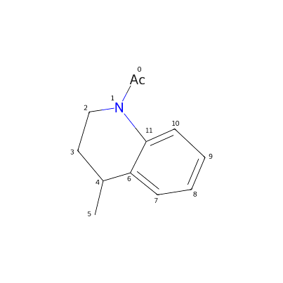 CC(=O)N1CCC(C)c2ccccc21